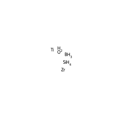 B.O.[SiH4].[Ti].[Zr]